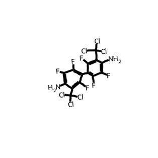 Nc1c(F)c(F)c(-c2c(F)c(F)c(N)c(C(Cl)(Cl)Cl)c2F)c(F)c1C(Cl)(Cl)Cl